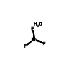 O.[F][Rh]([F])[F]